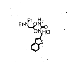 CCN(CC)CC(=O)ON(C(N)=O)[C@H](C)c1cc2ccccc2s1.Cl